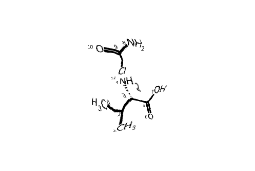 CC(C)[C@H](N)C(=O)O.NC(=O)Cl